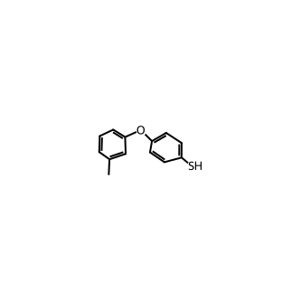 Cc1cccc(Oc2ccc(S)cc2)c1